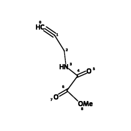 C#CCNC(=O)C(=O)OC